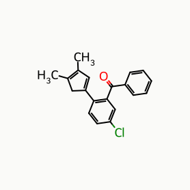 CC1=C(C)CC(c2ccc(Cl)cc2C(=O)c2ccccc2)=C1